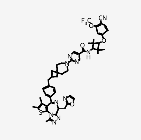 Cc1sc2c(c1C)C(c1ccc(CC3CC4(CCN(c5ncc(C(=O)NC6C(C)(C)C(Oc7ccc(C#N)c(OC(F)(F)F)c7)C6(C)C)cn5)CC4)C3)cc1)=N[C@@H](Cc1ncco1)c1nnc(C)n1-2